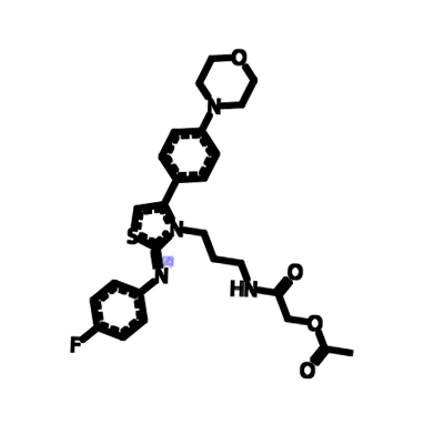 CC(=O)OCC(=O)NCCCn1c(-c2ccc(N3CCOCC3)cc2)cs/c1=N\c1ccc(F)cc1